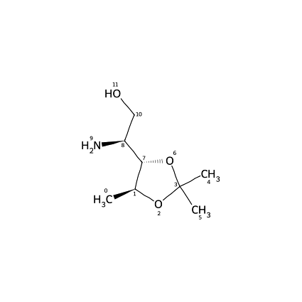 C[C@@H]1OC(C)(C)O[C@H]1[C@@H](N)CO